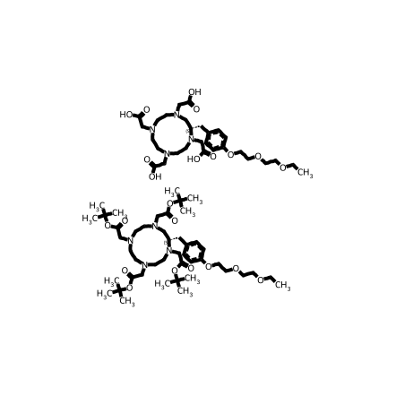 CCOCCOCCOc1ccc(C[C@H]2CN(CC(=O)O)CCN(CC(=O)O)CCN(CC(=O)O)CCN2CC(=O)O)cc1.CCOCCOCCOc1ccc(C[C@H]2CN(CC(=O)OC(C)(C)C)CCN(CC(=O)OC(C)(C)C)CCN(CC(=O)OC(C)(C)C)CCN2CC(=O)OC(C)(C)C)cc1